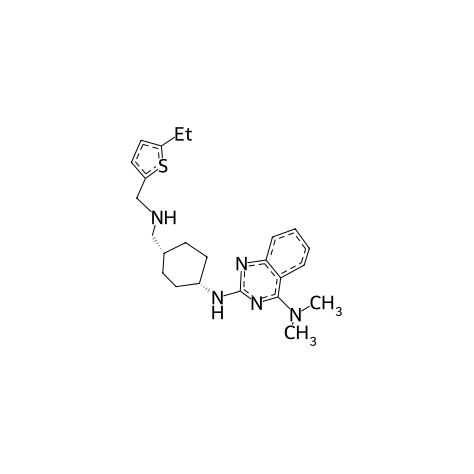 CCc1ccc(CNC[C@H]2CC[C@@H](Nc3nc(N(C)C)c4ccccc4n3)CC2)s1